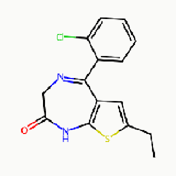 CCc1cc2c(s1)NC(=O)CN=C2c1ccccc1Cl